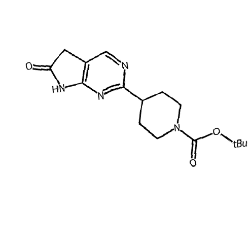 CC(C)(C)OC(=O)N1CCC(c2ncc3c(n2)NC(=O)C3)CC1